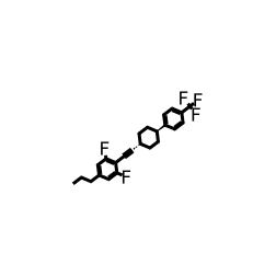 CCCc1cc(F)c(C#C[C@H]2CC[C@H](c3ccc(C(F)(F)F)cc3)CC2)c(F)c1